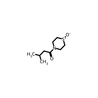 CC(C)CC(=O)N1CC[S+]([O-])CC1